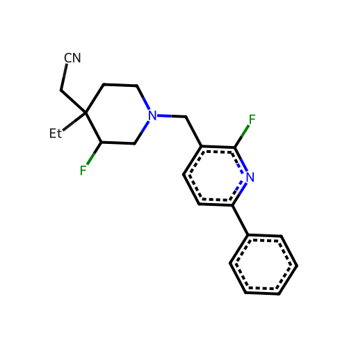 CCC1(CC#N)CCN(Cc2ccc(-c3ccccc3)nc2F)CC1F